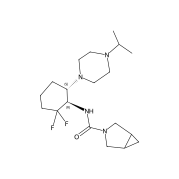 CC(C)N1CCN([C@H]2CCCC(F)(F)[C@@H]2NC(=O)N2CC3CC3C2)CC1